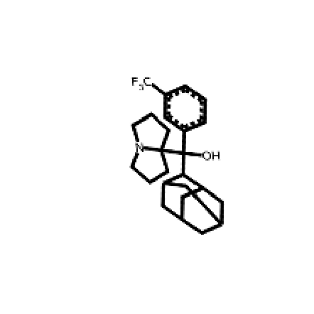 OC(c1cccc(C(F)(F)F)c1)(C1C2CC3CC(C2)CC1C3)C12CCCN1CCC2